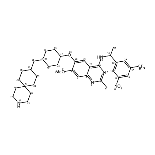 COc1cc2nc(C)nc(NC(C)c3cc([N+](=O)[O-])cc(C(F)(F)F)c3)c2cc1OC1CCN(CC2CCC3(CCNCC3)CC2)CC1